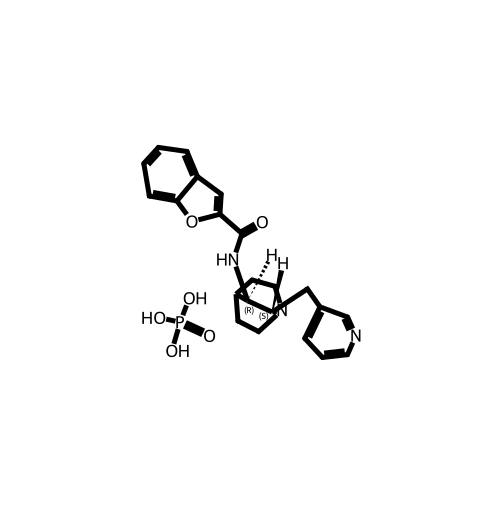 O=C(N[C@@H]1C2CCN(CC2)[C@H]1Cc1cccnc1)c1cc2ccccc2o1.O=P(O)(O)O